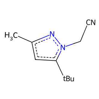 Cc1cc(C(C)(C)C)n(CC#N)n1